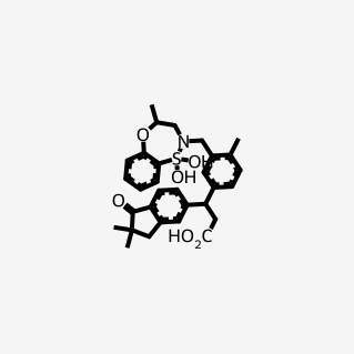 Cc1ccc(C(CC(=O)O)c2ccc3c(c2)CC(C)(C)C3=O)cc1CN1CC(C)Oc2ccccc2S1(O)O